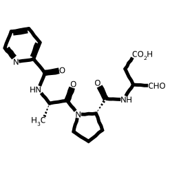 C[C@H](NC(=O)c1ccccn1)C(=O)N1CCC[C@H]1C(=O)NC(C=O)CC(=O)O